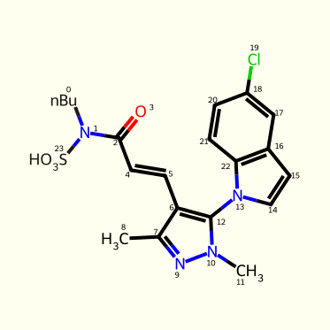 CCCCN(C(=O)C=Cc1c(C)nn(C)c1-n1ccc2cc(Cl)ccc21)S(=O)(=O)O